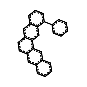 [c]1ccc(-c2cccc3cc4ccc5cc6ccccc6cc5c4cc23)cc1